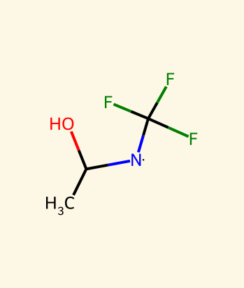 CC(O)[N]C(F)(F)F